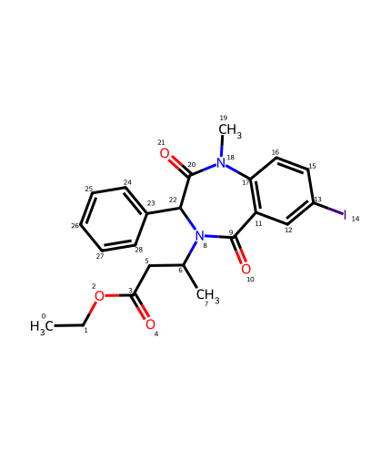 CCOC(=O)CC(C)N1C(=O)c2cc(I)ccc2N(C)C(=O)C1c1ccccc1